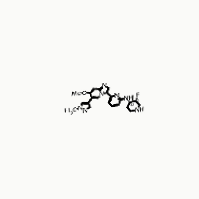 COc1cc2ncc(-c3cccc(N[C@H]4CCNC[C@@H]4F)n3)n2cc1-c1cnn(C)c1